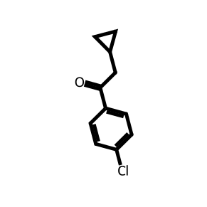 O=C(CC1CC1)c1ccc(Cl)cc1